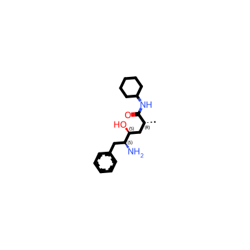 C[C@H](C[C@H](O)[C@@H](N)Cc1ccccc1)C(=O)NC1CCCCC1